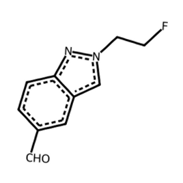 O=Cc1ccc2nn(CCF)cc2c1